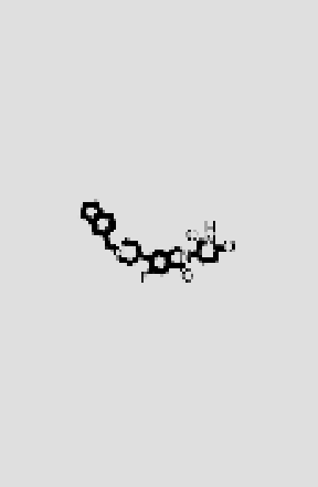 O=C1CCC(N2Cc3cc(C4CCN(Cc5ccc6c(c5)CCC6)CC4)c(F)cc3C2=O)C(=O)N1